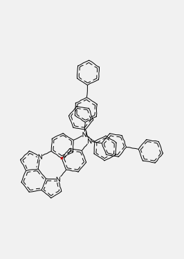 c1ccc(-c2ccc(N(c3ccccc3)c3ccc(-n4ccc5ccc6ccn(-c7ccc(N(c8ccccc8)c8ccc(-c9ccccc9)cc8)cc7)c6c54)cc3)cc2)cc1